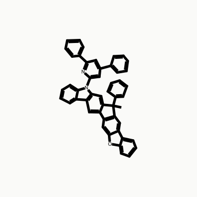 CC1(c2ccccc2)c2cc3c(cc2-c2cc4c5ccccc5n(-c5cc(-c6ccccc6)cc(-c6ccccc6)n5)c4cc21)oc1ccccc13